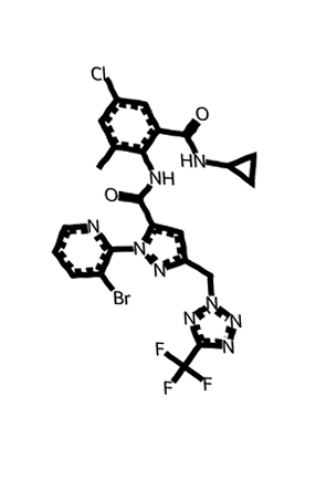 Cc1cc(Cl)cc(C(=O)NC2CC2)c1NC(=O)c1cc(Cn2nnc(C(F)(F)F)n2)nn1-c1ncccc1Br